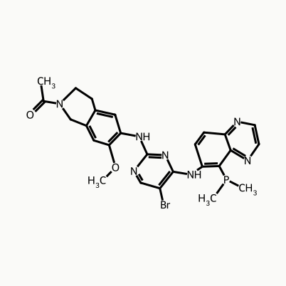 COc1cc2c(cc1Nc1ncc(Br)c(Nc3ccc4nccnc4c3P(C)C)n1)CCN(C(C)=O)C2